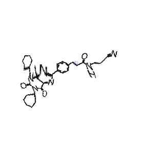 CC12N=C(c3ccc(/C=C/C(=O)NCCC#N)cc3)N=C1C(=O)N(C1CCCCC1)C(=O)N2C1CCCCC1